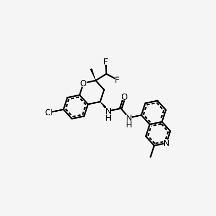 Cc1cc2c(NC(=O)N[C@@H]3C[C@@](C)(C(F)F)Oc4cc(Cl)ccc43)cccc2cn1